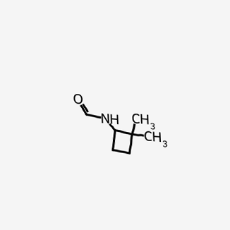 CC1(C)CCC1NC=O